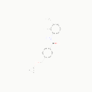 Cc1c(N=O)cccc1NC(=O)c1ccc(COC2CC2)cc1